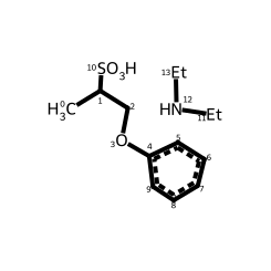 CC(COc1ccccc1)S(=O)(=O)O.CCNCC